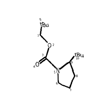 CC(C)(C)COC(=O)N1CCCC1C(C)(C)C